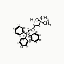 C[Si](C)(C)CCOC[P](c1ccccc1)(c1ccccc1)c1ccccc1